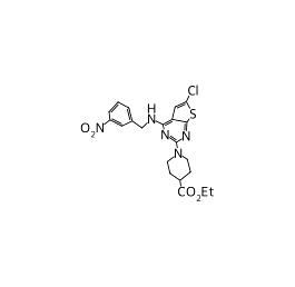 CCOC(=O)C1CCN(c2nc(NCc3cccc([N+](=O)[O-])c3)c3cc(Cl)sc3n2)CC1